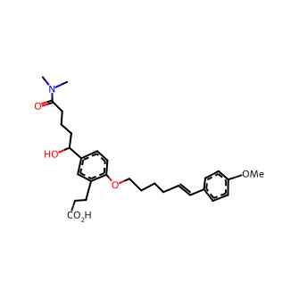 COc1ccc(/C=C/CCCCOc2ccc(C(O)CCCC(=O)N(C)C)cc2CCC(=O)O)cc1